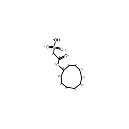 O=C(CS(=O)(=O)O)OC1CCCCCCCCC1